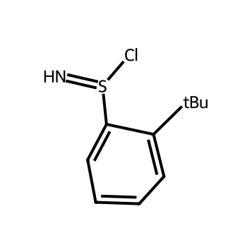 CC(C)(C)c1ccccc1S(=N)Cl